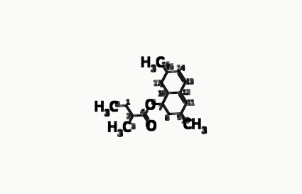 CCC(C)C(=O)OC1CC(C)C=C2C=CC(C)[CH]C21